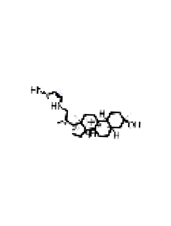 C[C@@H](CN/C=C\N=N)[C@H]1CC[C@H]2[C@@H]3CC[C@H]4C[C@](C)(O)CC[C@@H]4[C@H]3CC[C@]12C